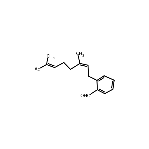 CC(=O)C(C)=CCCC(C)=CCc1ccccc1C=O